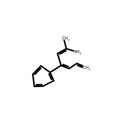 C=C/C=C(\C=C(\C)N)c1ccccc1